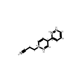 N#CCCN1C=CC(c2cccnn2)C=N1